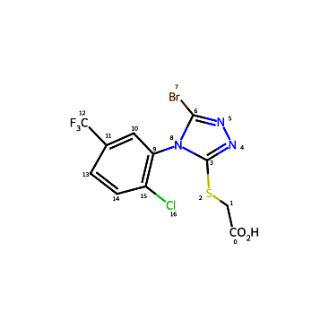 O=C(O)CSc1nnc(Br)n1-c1cc(C(F)(F)F)ccc1Cl